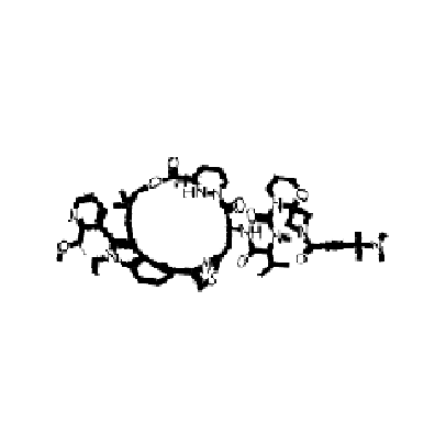 CCn1c(-c2cccnc2[C@H](C)OC)c2c3cc(ccc31)-c1csc(n1)C[C@H](NC(=O)C(C(C)C)N(C)C(=O)N1CCCOC13CN(C(=O)C#CC(C)(C)N(C)C)C3)C(=O)N1CCC[C@H](N1)C(=O)OCC(C)(C)C2